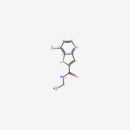 CCNC(=O)c1cc2nccc(Cl)c2s1